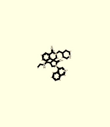 CCNCC1CN(c2cncc3ccccc23)C(=O)C12CN(CC1CCOCC1)C(=O)c1ccccc12